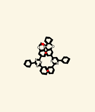 c1ccc(-c2cc(-c3ccc4c(c3)Oc3ccccc3[Si]43c4ccccc4Oc4cc(-c5nc(-c6ccccc6)nc(-c6ccccc6)n5)ccc43)nc(-c3ccccc3)n2)cc1